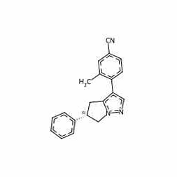 Cc1cc(C#N)ccc1-c1cnn2c1C[C@@H](c1ccccc1)C2